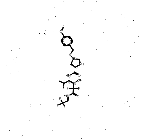 COc1ccc(CS[C@H]2CN[C@H](C(=O)N[C@@H](C(C)C)[C@@H](O)C(F)(F)C(=O)NCC(F)(F)F)C2)cc1